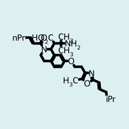 CCCC=CC(=O)N1CCc2ccc(OCCc3nc(C=CCC(C)C)oc3C)cc2C1C(C(=O)O)C(C)(C)N